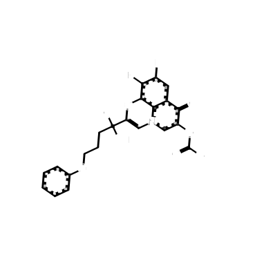 CC(C)(CCCOc1ccccc1)C1=Cn2cc(OC(=O)O)c(=O)c3cc(F)c(F)c(c32)O1